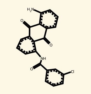 Nc1cccc2c1C(=O)c1cccc(NC(=O)c3cccc(Cl)c3)c1C2=O